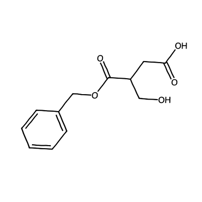 O=C(O)CC(CO)C(=O)OCc1ccccc1